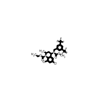 CCOC(=O)N1c2c(Cl)cc(Cl)cc2C(N(Cc2cc(C(F)(F)F)cc(C(F)(F)F)c2)C(=O)OC)CC1C